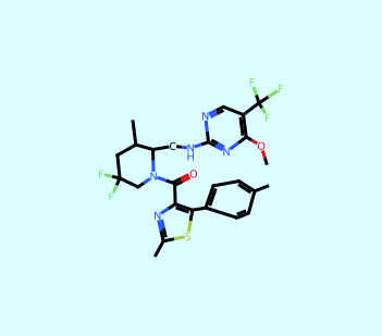 COc1nc(NCC2C(C)CC(F)(F)CN2C(=O)c2nc(C)sc2-c2ccc(C)cc2)ncc1C(F)(F)F